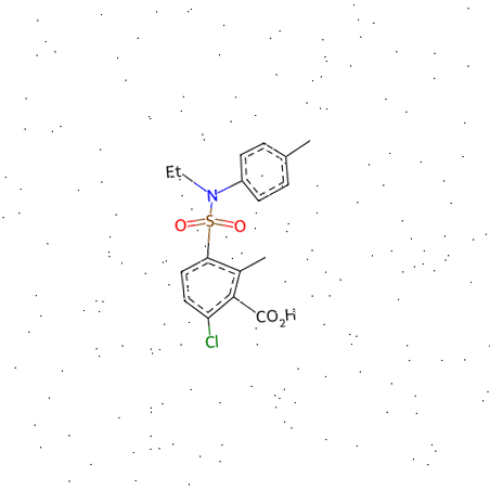 CCN(c1ccc(C)cc1)S(=O)(=O)c1ccc(Cl)c(C(=O)O)c1C